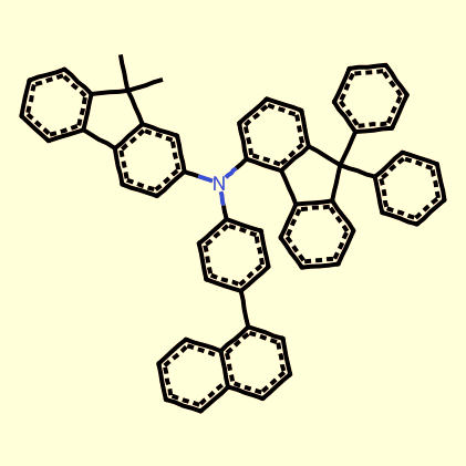 CC1(C)c2ccccc2-c2ccc(N(c3ccc(-c4cccc5ccccc45)cc3)c3cccc4c3-c3ccccc3C4(c3ccccc3)c3ccccc3)cc21